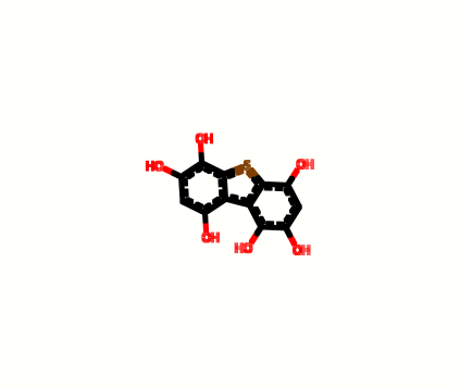 Oc1cc(O)c2c(sc3c(O)cc(O)c(O)c32)c1O